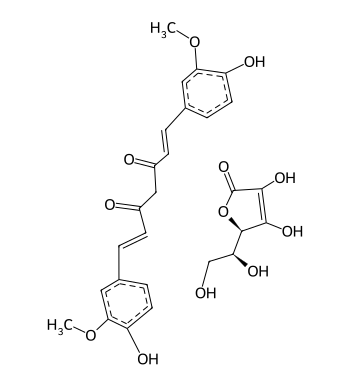 COc1cc(/C=C/C(=O)CC(=O)/C=C/c2ccc(O)c(OC)c2)ccc1O.O=C1O[C@H]([C@@H](O)CO)C(O)=C1O